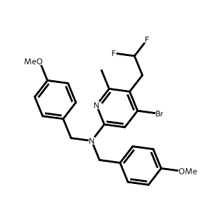 COc1ccc(CN(Cc2ccc(OC)cc2)c2cc(Br)c(CC(F)F)c(C)n2)cc1